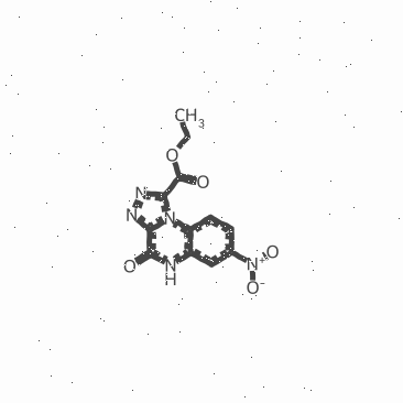 CCOC(=O)c1nnc2c(=O)[nH]c3cc([N+](=O)[O-])ccc3n12